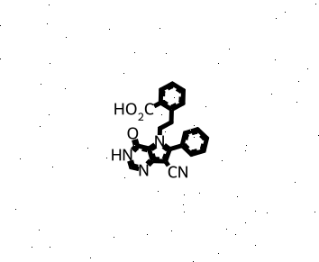 N#Cc1c(-c2ccccc2)n(CCc2ccccc2C(=O)O)c2c(=O)[nH]cnc12